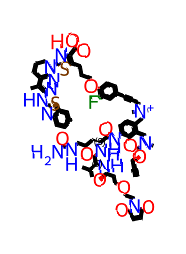 C#CCOC(=O)N(C)Cc1cc(NC(=O)[C@H](CCCNC(N)=O)NC(=O)[C@@H](NC(=O)CCOCCN2C(=O)C=CC2=O)C(C)C)ccc1C[N+](C)(C)CC#Cc1ccc(OCCCc2sc(N3CCCc4c3nnc(Nc3nc5ccccc5s3)c4C)nc2C(=O)O)c(F)c1